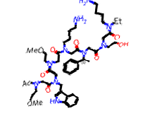 CCN(CCCCN)C(=O)CN(CCO)C(=O)CN(C(=O)CN(CCCCN)C(=O)CN(CCOC)C(=O)CN(Cc1c[nH]c2ccccc12)C(=O)CN(CCOC)C(C)=O)[C@@H](C)c1ccccc1